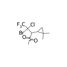 CC1(C)CC1C(C(Cl)(Br)C(F)(F)F)S(C)(=O)=O